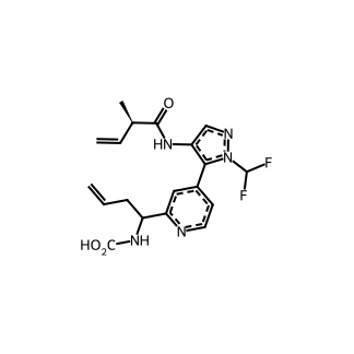 C=CCC(NC(=O)O)c1cc(-c2c(NC(=O)[C@H](C)C=C)cnn2C(F)F)ccn1